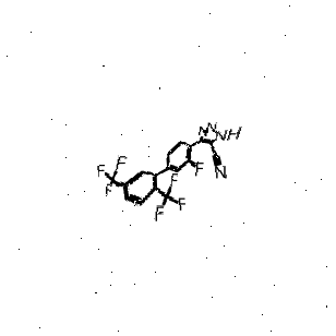 N#Cc1[nH]nnc1-c1ccc(-c2cc(C(F)(F)F)ccc2C(F)(F)F)cc1F